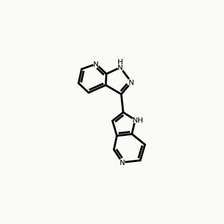 c1cnc2[nH]nc(-c3cc4cnccc4[nH]3)c2c1